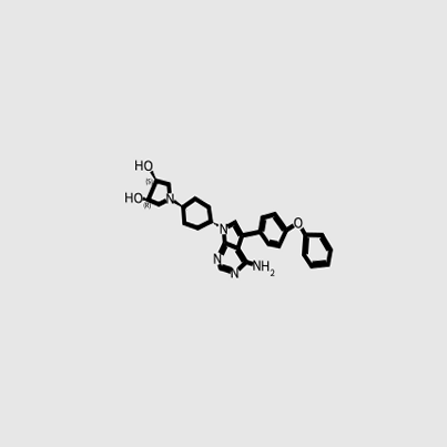 Nc1ncnc2c1c(-c1ccc(Oc3ccccc3)cc1)cn2[C@H]1CC[C@H](N2C[C@@H](O)[C@@H](O)C2)CC1